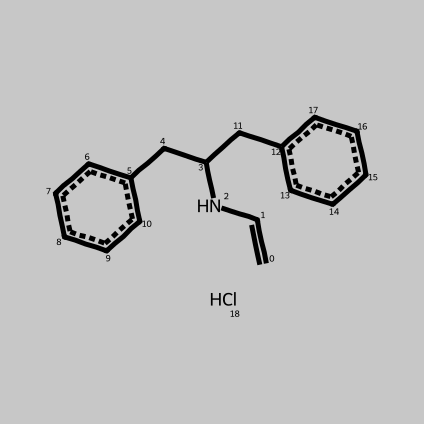 C=CNC(Cc1ccccc1)Cc1ccccc1.Cl